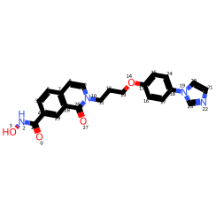 O=C(NO)c1ccc2ccn(CCCOc3ccc(-n4ccnc4)cc3)c(=O)c2c1